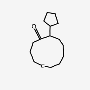 O=C1CCCCCCCCCC1C1CCCC1